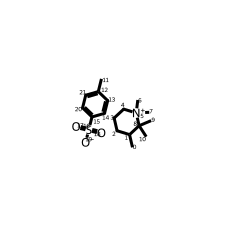 CC1CCC[N+](C)(C)C1(C)C.Cc1ccc(S(=O)(=O)[O-])cc1